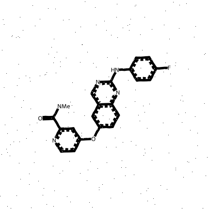 CNC(=O)c1cc(Oc2ccc3nc(Nc4ccc(F)cc4)ncc3c2)ccn1